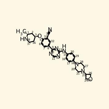 C[C@@H]1C[C@@H](Oc2ccc(-c3ncnc(Nc4ccc(N5CCN(C6COC6)CC5)cc4)n3)cc2C#N)CCN1